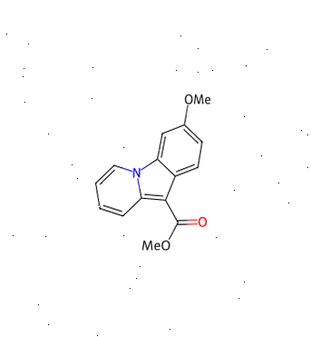 COC(=O)c1c2ccc(OC)cc2n2ccccc12